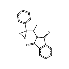 CC(N1C(=O)c2ccccc2C1=O)C1(c2ccccc2)CO1